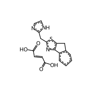 O=C(O)C=CC(=O)O.c1ccc2c(c1)Cc1sc(Cc3ncc[nH]3)nc1-2